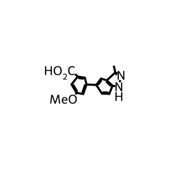 COc1cc(C(=O)O)cc(-c2ccc3[nH]nc(C)c3c2)c1